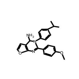 COc1ccc(C2=Nc3occc3C(N)N2c2ccc(C(C)C)cc2)cc1